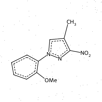 COc1ccccc1-n1cc(C)c([N+](=O)[O-])n1